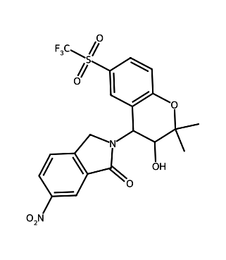 CC1(C)Oc2ccc(S(=O)(=O)C(F)(F)F)cc2C(N2Cc3ccc([N+](=O)[O-])cc3C2=O)C1O